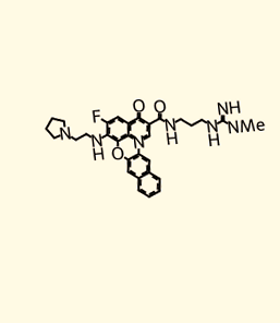 CNC(=N)NCCCNC(=O)c1cn2c3c(c(NCCN4CCCC4)c(F)cc3c1=O)Oc1cc3ccccc3cc1-2